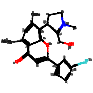 COc1cc(OC)c2c(=O)cc(-c3cccc(F)c3)oc2c1C1CCN(C)C1CO